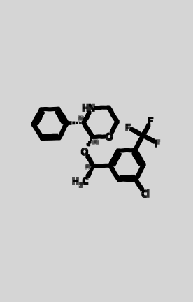 C[C@@H](O[C@H]1OCCN[C@H]1c1ccccc1)c1cc(Cl)cc(C(F)(F)F)c1